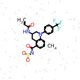 C.C=CC(=O)NC1Cc2c(C(=O)N=S(=O)=O)cccc2N(c2ccc(C(F)(F)F)cc2)C1